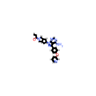 C=CC(=O)N1CC2CC(n3nc(-c4ccc(Oc5cccnc5)cc4)c4c(N)ncnc43)CC2C1